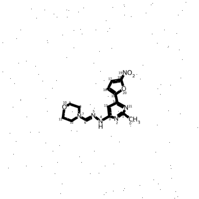 Cc1nc(N/N=C/N2CCOCC2)cc(-c2ccc([N+](=O)[O-])o2)n1